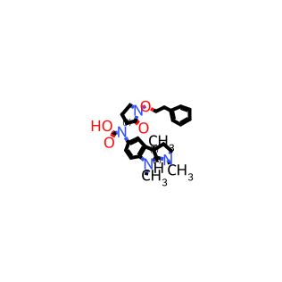 CN1CC[C@@]2(C)c3cc(N(C(=O)O)[C@@H]4CCN(OCCc5ccccc5)C4=O)ccc3N(C)[C@@H]12